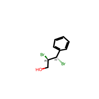 OC[C@@H](Br)[C@@H](Br)c1ccccc1